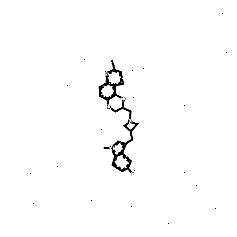 Cc1ccc2c3c(ccc2n1)OCC(CN1CC(Cc2cn(C)c4ccc(F)cc24)C1)O3